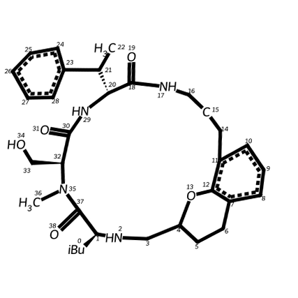 CCC(C)[C@@H]1NCC2CCc3cccc(c3O2)CCCNC(=O)[C@@H](C(C)c2ccccc2)NC(=O)[C@H](CO)N(C)C1=O